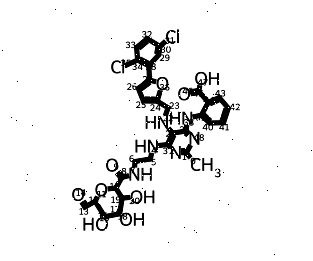 Cc1nc(NCCNC(=O)C2OC(C=O)C(O)C(O)C2O)c(NCc2ccc(-c3cc(Cl)ccc3Cl)o2)c(Nc2ccccc2C(=O)O)n1